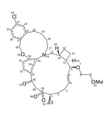 CC[C@@H]1CC/C=C/[C@H](OCCOC)[C@@H]2CC[C@H]2CN2CCCCc3cc(Cl)ccc3COc3ccc(cc32)C(=O)CS1(=O)=O